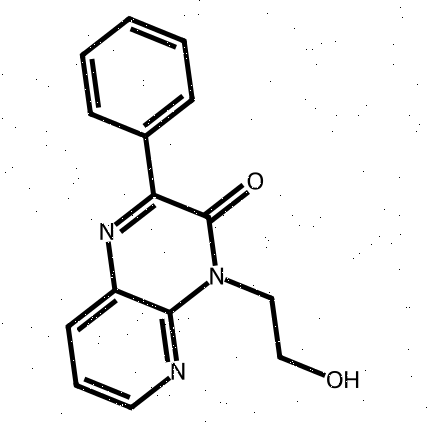 O=c1c(-c2ccccc2)nc2cccnc2n1CCO